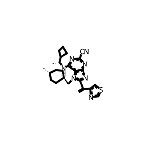 C=C(c1cscn1)c1nc2nc(C#N)nc(N[C@H](C)C3CCC3)c2n1C[C@H]1CC[C@H](C)CC1